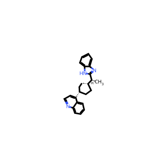 C[C@@H](c1nc2ccccc2[nH]1)[C@H]1CC[C@@H](c2ccnc3ccccc32)CC1